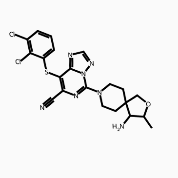 CC1OCC2(CCN(c3nc(C#N)c(Sc4cccc(Cl)c4Cl)c4ncnn34)CC2)C1N